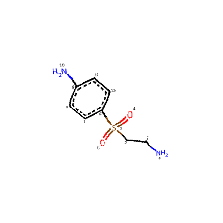 NCCS(=O)(=O)c1ccc(N)cc1